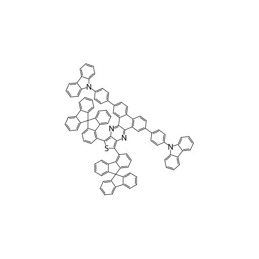 c1ccc2c(c1)-c1ccccc1C21c2ccccc2-c2c(-c3sc(-c4cccc5c4-c4ccccc4C54c5ccccc5-c5ccccc54)c4nc5c6cc(-c7ccc(-n8c9ccccc9c9ccccc98)cc7)ccc6c6ccc(-c7ccc(-n8c9ccccc9c9ccccc98)cc7)cc6c5nc34)cccc21